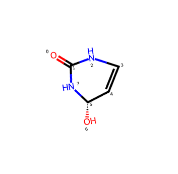 O=C1NC=C[C@H](O)N1